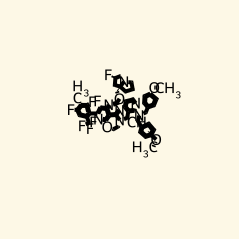 COc1ccc(CN(Cc2ccc(OC)cc2)c2ncccc2[C@@H](C)N2CCOc3nc(-c4c(C(F)(F)F)cc(F)c(C)c4F)c(F)c4nc(OC[C@@]56CCCN5C[C@H](F)C6)nc2c34)cc1